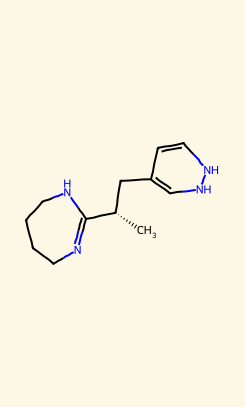 C[C@@H](CC1=CNNC=C1)C1=NCCCCN1